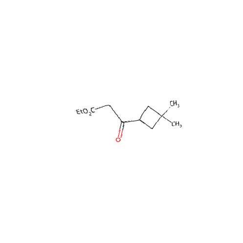 CCOC(=O)CC(=O)C1CC(C)(C)C1